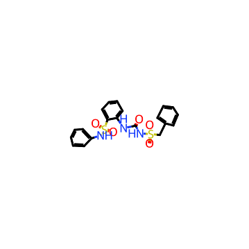 O=C(Nc1ccccc1S(=O)(=O)Nc1ccccc1)NS(=O)(=O)Cc1ccccc1